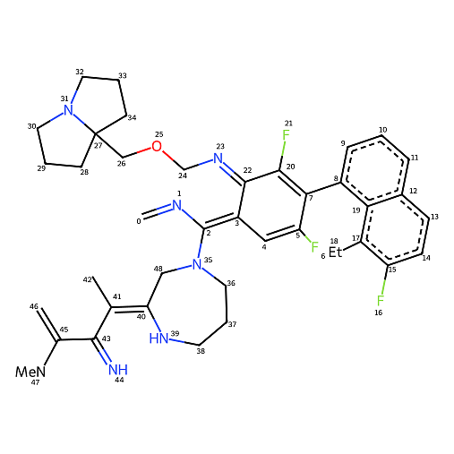 C=N/C(=C1/C=C(F)C(c2cccc3ccc(F)c(CC)c23)=C(F)/C1=N/COCC12CCCN1CCC2)N1CCCN/C(=C(/C)C(=N)C(=C)NC)C1